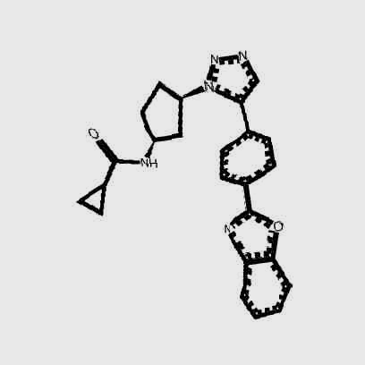 O=C(N[C@H]1CC[C@@H](n2nncc2-c2ccc(-c3nc4ccccc4o3)cc2)C1)C1CC1